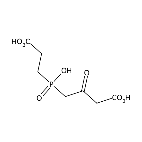 O=C(O)CCP(=O)(O)CC(=O)CC(=O)O